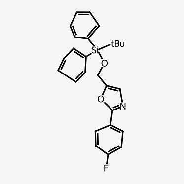 CC(C)(C)[Si](OCc1cnc(-c2ccc(F)cc2)o1)(c1ccccc1)c1ccccc1